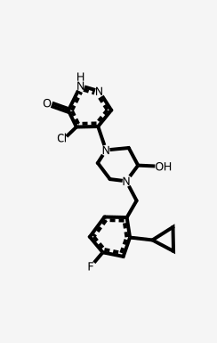 O=c1[nH]ncc(N2CCN(Cc3ccc(F)cc3C3CC3)C(O)C2)c1Cl